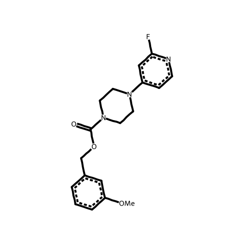 COc1cccc(COC(=O)N2CCN(c3ccnc(F)c3)CC2)c1